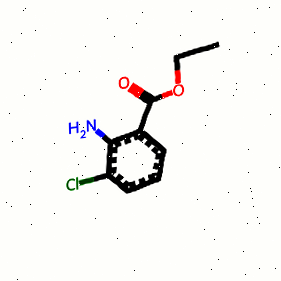 CCOC(=O)c1cccc(Cl)c1N